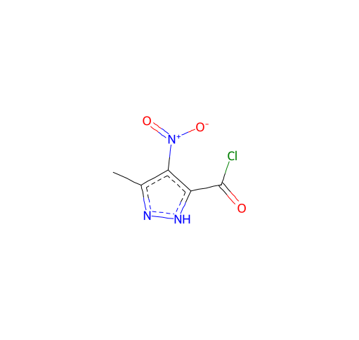 Cc1n[nH]c(C(=O)Cl)c1[N+](=O)[O-]